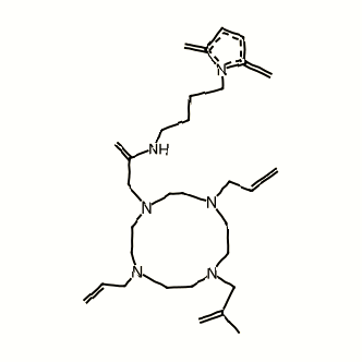 C=CCN1CCN(CC(=C)C)CCN(CC=C)CCN(CC(=C)NCCCCn2c(=C)ccc2=C)CC1